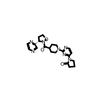 O=C1CCCN1c1ccnc(N2CCC(C(=O)N3OCC[C@H]3c3cnccn3)CC2)n1